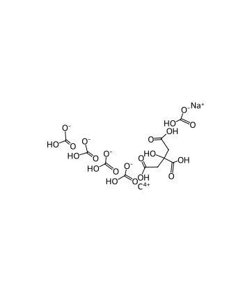 O=C(O)CC(O)(CC(=O)O)C(=O)O.O=C([O-])O.O=C([O-])O.O=C([O-])O.O=C([O-])O.O=C([O-])O.[C+4].[Na+]